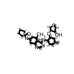 Cc1cc(N=S2(=O)CCCC2)cc2ncnc(Nc3ccc(F)cc3O[C@H]3COC[C@@H]3O)c12